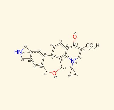 O=C(O)c1cn(C2CC2)c2c3c(ccc2c1=O)-c1cc2c(cc1COC3)CNC2